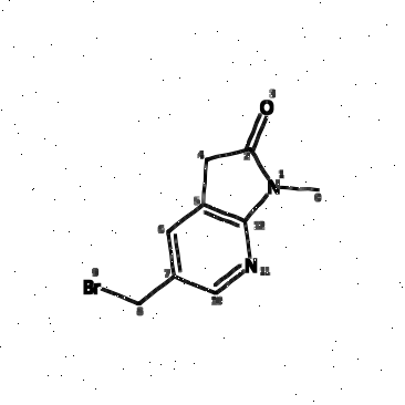 CN1C(=O)Cc2cc(CBr)cnc21